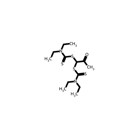 CCN(CC)C(=S)SC(SC(=S)N(CC)CC)C(C)=O